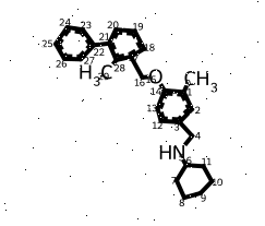 Cc1cc(CNC2CCCCC2)ccc1OCc1cccc(-c2ccccc2)c1C